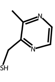 Cc1nccnc1CS